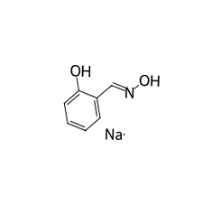 ON=Cc1ccccc1O.[Na]